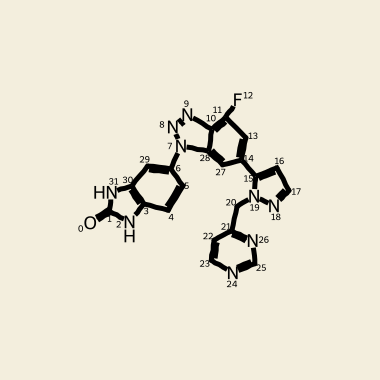 O=c1[nH]c2ccc(-n3nnc4c(F)cc(-c5ccnn5Cc5ccncn5)cc43)cc2[nH]1